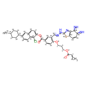 C=CC(=O)OCCCOc1ccc(C(=O)Oc2ccc3cc(C4CCC(CCC)CC4)ccc3c2Cl)cc1/C=N/Nc1nc2c(s1)C=CC(=N)C2=N